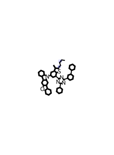 C=c1/c(=C\C=C/C)sc2c(-c3nc(-c4ccccc4)nc(-c4cccc(-c5ccccc5)c4)n3)cc(-n3c4ccccc4c4cc5oc6ccccc6c5cc43)cc12